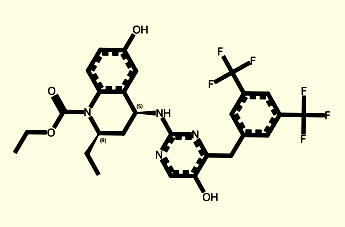 CCOC(=O)N1c2ccc(O)cc2[C@@H](Nc2ncc(O)c(Cc3cc(C(F)(F)F)cc(C(F)(F)F)c3)n2)C[C@H]1CC